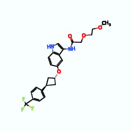 COCCOCC(=O)Nc1c[nH]c2ccc(O[C@H]3C[C@H](c4ccc(C(F)(F)F)cc4)C3)cc12